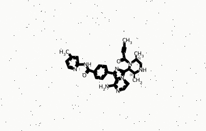 CC#CC(=O)N1C(c2nc(-c3ccc(C(=O)Nc4cc(C)ccn4)cc3)c3c(N)nccn23)[C@H](C)NC[C@@H]1C